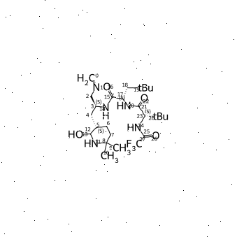 C=NC[C@H](C[C@@H]1CCC(C)(C)NC1O)NC(=O)[C@H](CC(C)(C)C)NC(=O)[C@@H](NC(=O)C(F)(F)F)C(C)(C)C